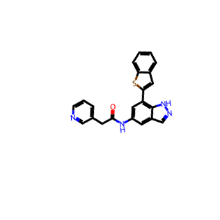 O=C(Cc1cccnc1)Nc1cc(-c2cc3ccccc3s2)c2[nH]ncc2c1